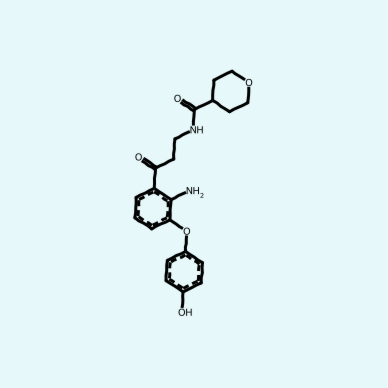 Nc1c(Oc2ccc(O)cc2)cccc1C(=O)CCNC(=O)C1CCOCC1